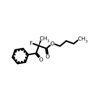 CCCCOC(=O)[C@@](C)(F)C(=O)c1ccccc1